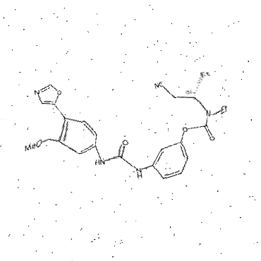 CC[C@@H](CC#N)N(CC)C(=O)Oc1cccc(NC(=O)Nc2ccc(-c3cnco3)c(OC)c2)c1